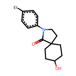 CCc1ccc(N2CCC3(CCC(O)CC3)C2=O)cc1